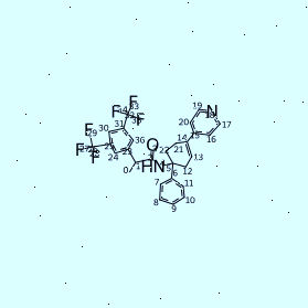 CC(C(=O)NC1(c2ccccc2)CC=C(c2ccncc2)CC1)c1cc(C(F)(F)F)cc(C(F)(F)F)c1